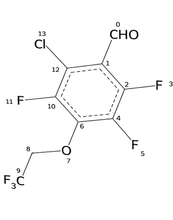 O=Cc1c(F)c(F)c(OCC(F)(F)F)c(F)c1Cl